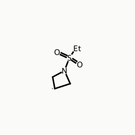 CCS(=O)(=O)N1C[CH]C1